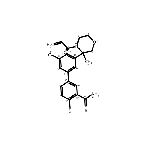 C=CC(=O)N1CCOCC1(C)c1cc(Cl)cc(-c2ccc(F)c(C(N)=O)c2)c1